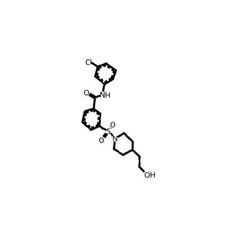 O=C(Nc1cccc(Cl)c1)c1cccc(S(=O)(=O)N2CCC(CCO)CC2)c1